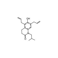 C=CCc1cc2c(c(CC=C)c1O)CCC(=O)N2CC(C)C